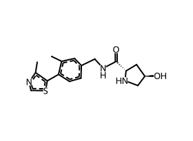 Cc1cc(CNC(=O)[C@@H]2C[C@@H](O)CN2)ccc1-c1scnc1C